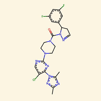 Cc1nc(C)n(-c2nc(N3CCN(C(=O)N4N=CCC4c4cc(F)cc(F)c4)CC3)ncc2Cl)n1